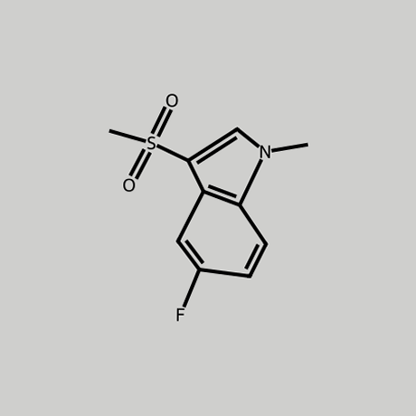 Cn1cc(S(C)(=O)=O)c2cc(F)ccc21